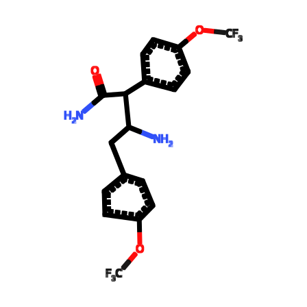 NC(=O)C(c1ccc(OC(F)(F)F)cc1)C(N)Cc1ccc(OC(F)(F)F)cc1